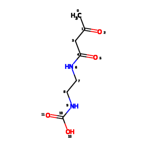 CC(=O)CC(=O)NCCNC(=O)O